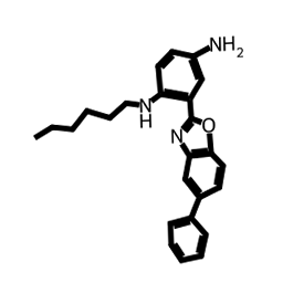 CCCCCCNc1ccc(N)cc1-c1nc2cc(-c3ccccc3)ccc2o1